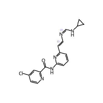 O=C(Nc1cccc(/C=C/N=C\NC2CC2)n1)c1cc(Cl)ccn1